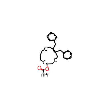 CCCC(=O)OC1CCCCCCC(Cc2ccccc2)=C(Cc2ccccc2)CCC1